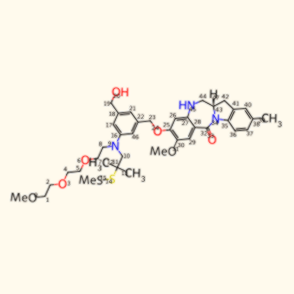 COCCOCCOCCN(CC(C)(C)SSC)c1cc(CO)cc(COc2cc3c(cc2OC)C(=O)N2c4ccc(C)cc4C[C@H]2CN3)c1